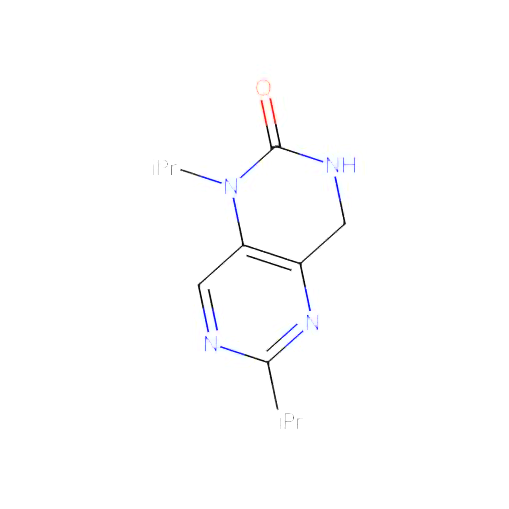 CC(C)c1ncc2c(n1)CNC(=O)N2C(C)C